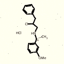 COc1cccc([C@@H](C)NCC(Cl)Cc2ccccc2)c1.Cl